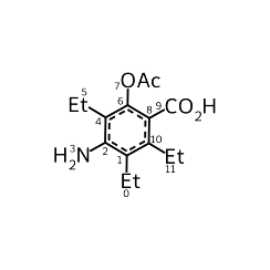 CCc1c(N)c(CC)c(OC(C)=O)c(C(=O)O)c1CC